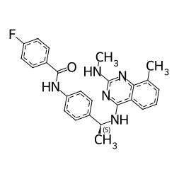 CNc1nc(N[C@@H](C)c2ccc(NC(=O)c3ccc(F)cc3)cc2)c2cccc(C)c2n1